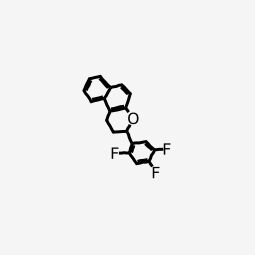 Fc1cc(F)c(C2CCc3c(ccc4ccccc34)O2)cc1F